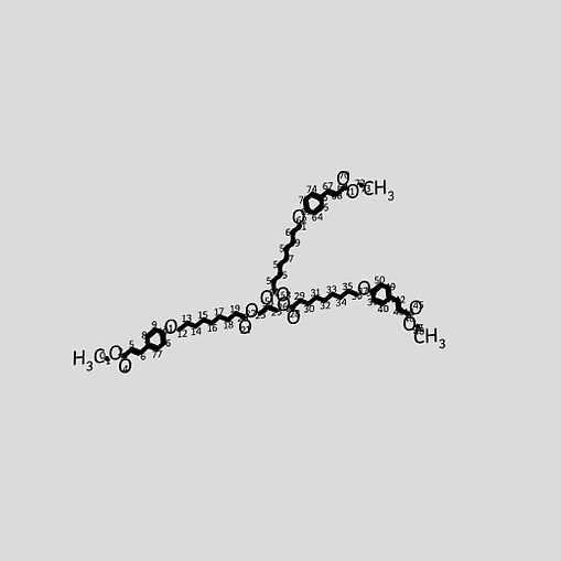 CCOC(=O)C=Cc1ccc(OCCCCCCCCC(=O)OCC(COC(=O)CCCCCCCCOc2ccc(C=CC(=O)OCC)cc2)OC(=O)CCCCCCCCOc2ccc(C=CC(=O)OCC)cc2)cc1